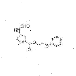 O=CNC1CC=C(C(=O)OCCSc2ccccc2)C1